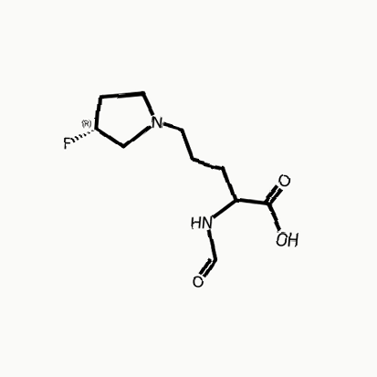 O=CNC(CCCN1CC[C@@H](F)C1)C(=O)O